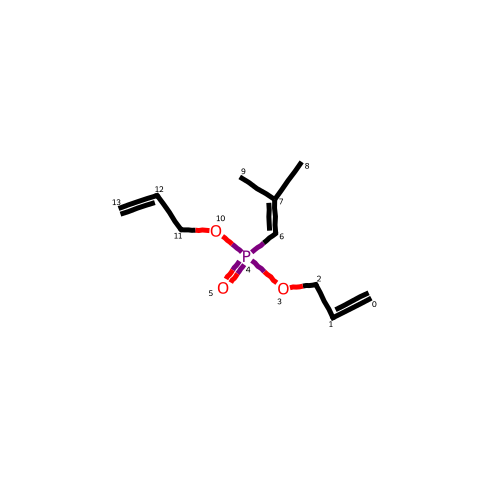 C=CCOP(=O)(C=C(C)C)OCC=C